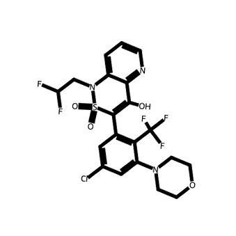 O=S1(=O)C(c2cc(Cl)cc(N3CCOCC3)c2C(F)(F)F)=C(O)c2ncccc2N1CC(F)F